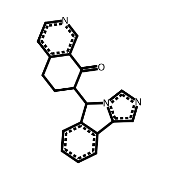 O=C1c2cnccc2CCC1C1c2ccccc2-c2cncn21